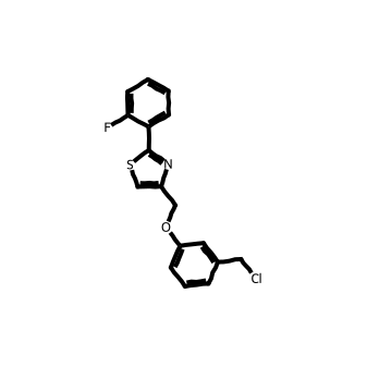 Fc1ccccc1-c1nc(COc2cccc(CCl)c2)cs1